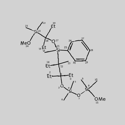 CCC(CC)(O[Si](C)(C)O[Si](C)(C)OC)C(C)(CC)[Si](C)(OC(CC)(CC)[Si](C)(C)OC)c1ccccc1